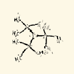 C[Si](C)(C)[Bi]([Si](C)(C)C)[Si](C)(C)C